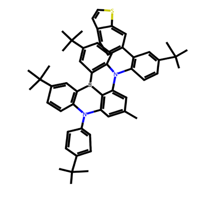 Cc1cc2c3c(c1)N(c1ccc(C(C)(C)C)cc1-c1ccc4ccsc4c1)c1ccc(C(C)(C)C)cc1B3c1cc(C(C)(C)C)ccc1N2c1ccc(C(C)(C)C)cc1